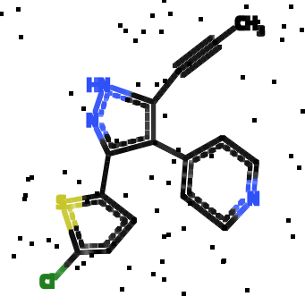 CC#Cc1[nH]nc(-c2ccc(Cl)s2)c1-c1ccncc1